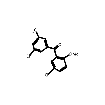 COc1ccc(Cl)cc1C(=O)c1cc(C)cc(Cl)c1